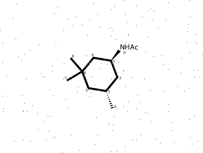 CC(=O)N[C@H]1C[C@H](C)CC(C)(C)C1